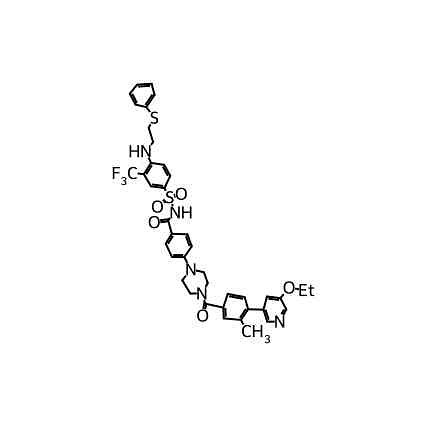 CCOc1cncc(-c2ccc(C(=O)N3CCN(c4ccc(C(=O)NS(=O)(=O)c5ccc(NCCSc6ccccc6)c(C(F)(F)F)c5)cc4)CC3)cc2C)c1